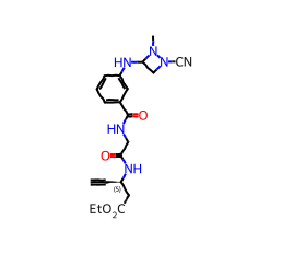 C#C[C@H](CC(=O)OCC)NC(=O)CNC(=O)c1cccc(NC2CN(C#N)N2C)c1